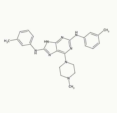 Cc1cccc(Nc2nc(N3CCN(C)CC3)c3nc(Nc4cccc(C)c4)[nH]c3n2)c1